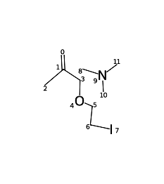 C=C(C)COCCI.CN(C)C